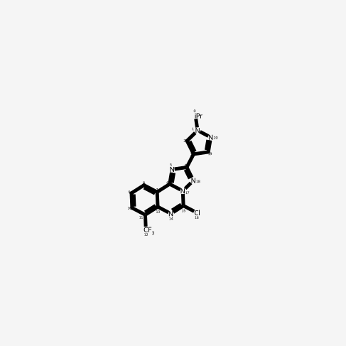 CC(C)n1cc(-c2nc3c4cccc(C(F)(F)F)c4nc(Cl)n3n2)cn1